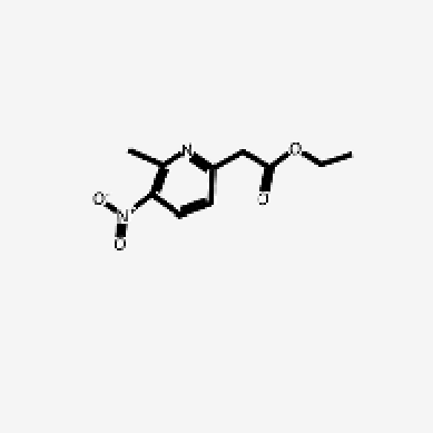 CCOC(=O)Cc1ccc([N+](=O)[O-])c(C)n1